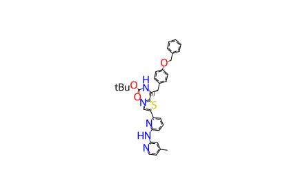 Cc1ccnc(Nc2cccc(-c3cnc([C@H](Cc4ccc(OCc5ccccc5)cc4)NC(=O)OC(C)(C)C)s3)n2)c1